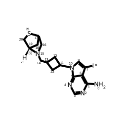 Nc1ncnc2c1c(I)cn2C1CC(CN2CC3C[C@H]2CS3)C1